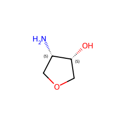 N[C@H]1COC[C@H]1O